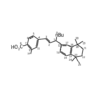 CCCCC(C=Cc1ccc(C(=O)O)c(C)c1)c1ccc2c(c1)C(C)(C)CCC2(C)C